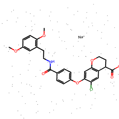 COc1ccc(OC)c(CCNC(=O)c2ccc(Oc3cc4c(cc3Cl)C(C(=O)[O-])CCO4)cc2)c1.[Na+]